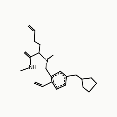 C=CCCC(C(=C)NC)N(C)Cc1cc(CC2CCCC2)ccc1C=C